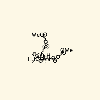 COC(=O)C=Cc1ccc(C(=O)OCCCCCCc2ccccc2C(N)(CCCCCCOC(=O)c2ccc(C=CC(=O)OC)cc2)C(C(=O)O)(C(=O)O)C(N)c2ccccc2)cc1